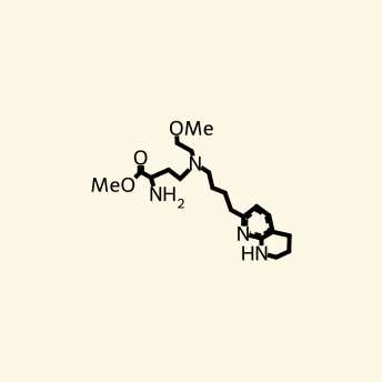 COCCN(CCCCc1ccc2c(n1)NCCC2)CCC(N)C(=O)OC